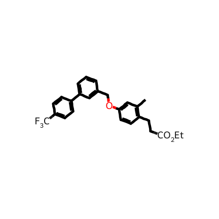 CCOC(=O)CCc1ccc(OCc2cccc(-c3ccc(C(F)(F)F)cc3)c2)cc1C